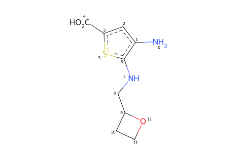 Nc1cc(C(=O)O)sc1NCC1CCO1